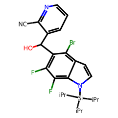 CC(C)[Si](C(C)C)(C(C)C)n1ccc2c(Br)c(C(O)c3cccnc3C#N)c(F)c(F)c21